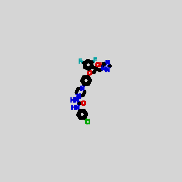 O=C(Nc1ccc(Cl)cc1)NN1CCN(c2ccc(OCC(O)(Cn3cncn3)c3ccc(F)cc3F)cc2)CC1